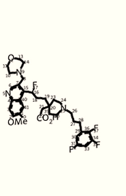 COc1ccc2ncc(CN3CCOCC3)c([C@@H](F)CCC3(CC(=O)O)CCN(CCCc4cc(F)cc(F)c4F)CC3)c2c1